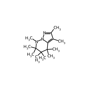 Cc1nn2c(c1C)C(C)(C)C(C)(C)C(C)(C)N2C